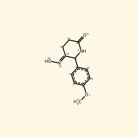 COc1ccc(C2NC(=O)CC/C2=N\O)cc1